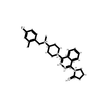 Cc1cc(F)ccc1CN(C)C1CCN(c2nnc(N3CCCC3=O)c3ccccc23)CC1